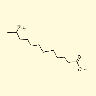 COC(=O)CCCCCCCCCC(C)N